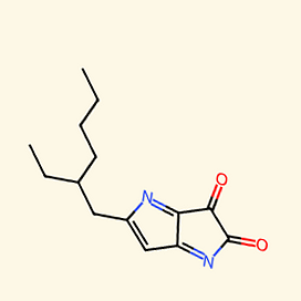 CCCCC(CC)Cc1cc2nc(=O)c(=O)c-2n1